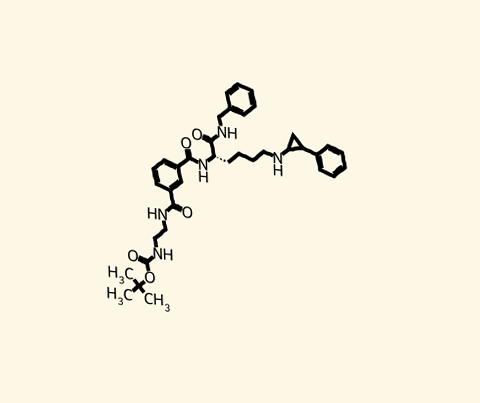 CC(C)(C)OC(=O)NCCNC(=O)c1cccc(C(=O)N[C@@H](CCCCNC2CC2c2ccccc2)C(=O)NCc2ccccc2)c1